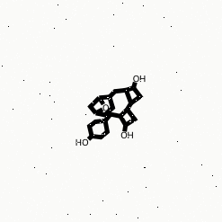 OC1CCC(CC2C(O)CC2C2CC(O)C2CC2CCC3CC2O3)CC1